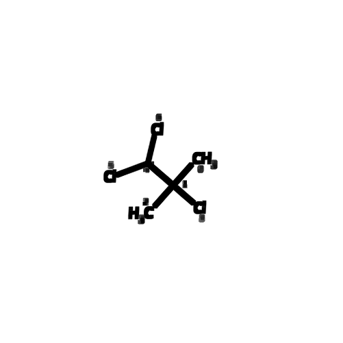 CC(C)(Cl)[C](Cl)Cl